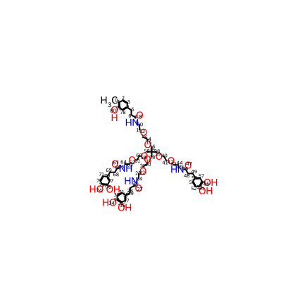 Cc1ccc(CCC(=O)NCCOCCOCC(COCCOCCNC(=O)CCc2ccc(O)c(O)c2)(COCCOCCNC(=O)CCc2ccc(O)c(O)c2)COCCOCCNC(=O)CCc2ccc(O)c(O)c2)cc1O